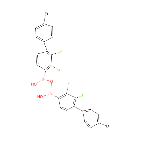 CCc1ccc(-c2ccc(B(O)OB(O)c3ccc(-c4ccc(CC)cc4)c(F)c3F)c(F)c2F)cc1